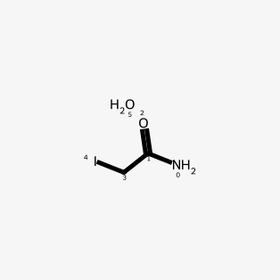 NC(=O)CI.O